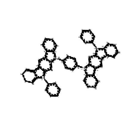 C1=c2c(n(-c3ccccc3)c3cc4c(cc23)c2ccccc2n4-c2ccc(-n3c4ccccc4c4cc5c6ccccc6n(-c6ccccc6)c5cc43)cc2)=CCC1